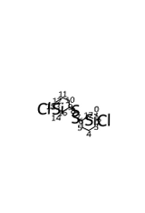 C[Si]1(Cl)CCCC(SSC2CCC[Si](C)(Cl)C2)C1